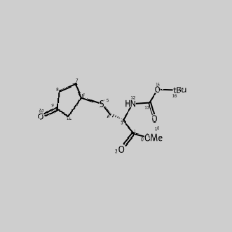 COC(=O)[C@H](CSC1CCC(=O)C1)NC(=O)OC(C)(C)C